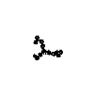 CC1(c2ccccc2)Oc2cc(-c3ccc(-c4nc(-c5ccc(-c6cccc(-n7c8ccccc8c8ccccc87)c6)cc5)nc(-c5ccc(-c6cccc7ccccc67)cc5)n4)cc3)ccc2-c2ccccc21